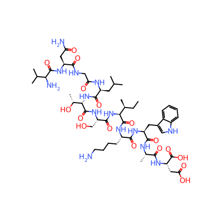 CC[C@H](C)[C@H](NC(=O)[C@H](CO)NC(=O)[C@@H](NC(=O)[C@H](CC(C)C)NC(=O)CNC(=O)[C@H](CC(N)=O)NC(=O)[C@@H](N)C(C)C)[C@@H](C)O)C(=O)N[C@@H](CCCCN)C(=O)N[C@@H](Cc1c[nH]c2ccccc12)C(=O)N[C@@H](C)C(=O)N[C@@H](CC(=O)O)C(=O)O